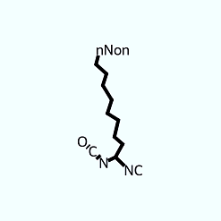 [C-]#[N+]C(CCCCCCCCCCCCCCCCC)N=C=O